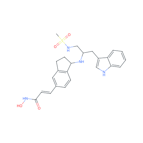 CS(=O)(=O)NCC(Cc1c[nH]c2ccccc12)NC1CCc2cc(C=CC(=O)NO)ccc21